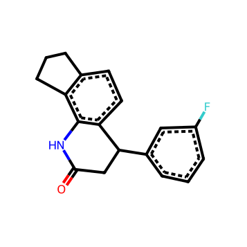 O=C1CC(c2cccc(F)c2)c2ccc3c(c2N1)CCC3